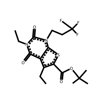 CCc1c(C(=O)OC(C)(C)C)sc2c1c(=O)n(CC)c(=O)n2CCC(F)(F)F